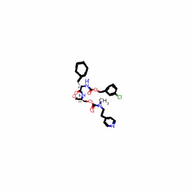 CN(CCc1ccncc1)C(=O)OC[C@@H](C=O)NC(=O)[C@H](CC1CCCCC1)NC(=O)OCc1cccc(Cl)c1